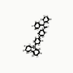 C=C(c1ccc(-c2ccc(-n3c4ccccc4c4ccccc43)cc2)cc1)C(c1ccccc1)c1ccccc1